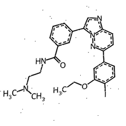 CCOc1cc(-c2ccc3ncc(-c4cccc(C(=O)NCCN(C)C)c4)n3n2)ccc1I